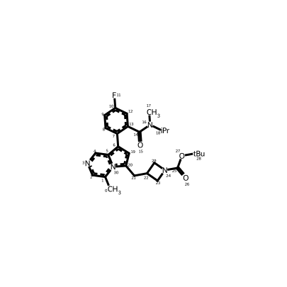 Cc1cncc2c(-c3ccc(F)cc3C(=O)N(C)C(C)C)cc(CC3CN(C(=O)OC(C)(C)C)C3)n12